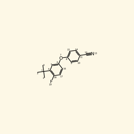 CC(C)(C)c1cc(Oc2ccc(C#N)cc2)ccc1F